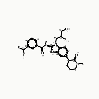 CN1CCCC(c2ccc3c(c2)[nH]/c(=N\C(=O)c2cccc(C(F)F)c2)n3CC(F)CO)C1=O